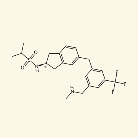 CNCc1cc(Cc2ccc3c(c2)C[C@@H](NS(=O)(=O)C(C)C)C3)cc(C(F)(F)F)c1